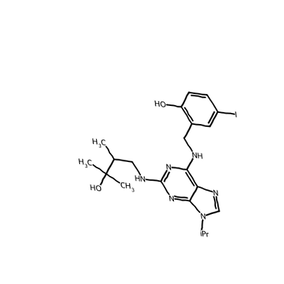 CC(C)n1cnc2c(NCc3cc(I)ccc3O)nc(NCC(C)C(C)(C)O)nc21